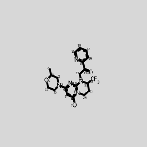 CC1CN(c2cc(=O)n3c(n2)N(CC(=O)c2ccccn2)C(C(F)(F)F)CC3)CCO1